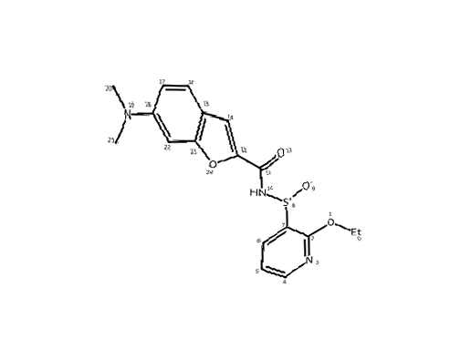 CCOc1ncccc1[S+]([O-])NC(=O)c1cc2ccc(N(C)C)cc2o1